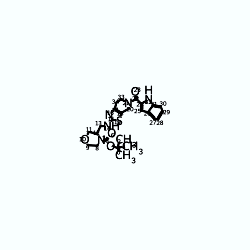 CC(C)(C)OC(=O)N1CCOCC1CNc1nc2c(s1)CN(C(=O)c1cc3ccccc3[nH]1)CC2